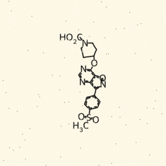 CS(=O)(=O)c1ccc(-c2noc3c(OC4CCN(C(=O)O)CC4)ncnc23)cc1